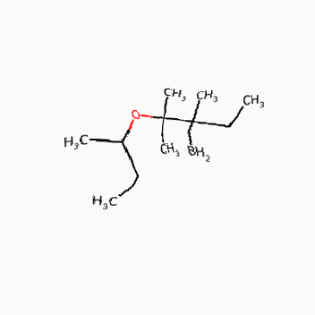 BC(C)(CC)C(C)(C)OC(C)CC